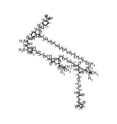 COCCOCCOCCOCCOCCOCCOCCOCCNC(=O)c1cc(NC(=O)[C@H](C)NC(=O)[C@@H](NC(=O)CCOCCOCCNC(=O)[C@H](CCC(=O)OC(C)(C)C)NC(=O)CCOCCOCCNC(=O)[C@H](CCC(=O)OC(C)(C)C)NC(=O)CCOCCOCCNC(=O)CCCN2C(=O)C=CC2=O)C(C)C)ccc1COC(=O)Oc1ccc([N+](=O)[O-])cc1